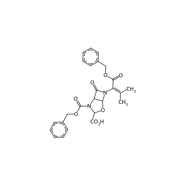 CC(C)=C(C(=O)OCc1ccccc1)N1C(=O)C2C1OC(C(=O)O)N2C(=O)OCc1ccccc1